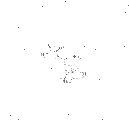 C=C(C)C(=O)OCCC[Si](OC)(OC)OC.[PbH2]